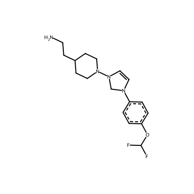 NCCC1CCN(N2C=CN(c3ccc(OC(F)F)cc3)C2)CC1